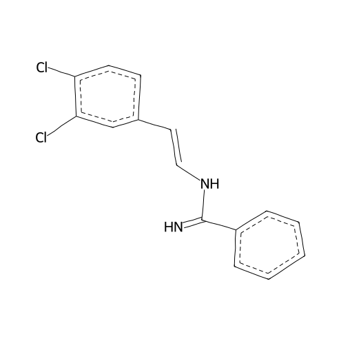 N=C(NC=Cc1ccc(Cl)c(Cl)c1)c1ccccc1